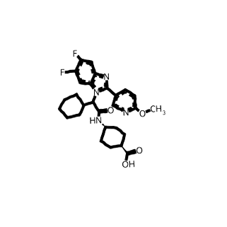 COc1ccc(-c2nc3cc(F)c(F)cc3n2C(C(=O)N[C@H]2CC[C@H](C(=O)O)CC2)C2CCCCC2)cn1